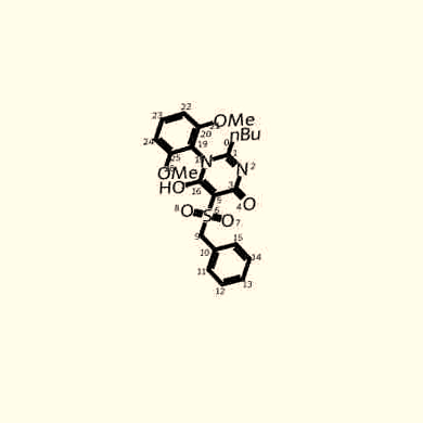 CCCCc1nc(=O)c(S(=O)(=O)Cc2ccccc2)c(O)n1-c1c(OC)cccc1OC